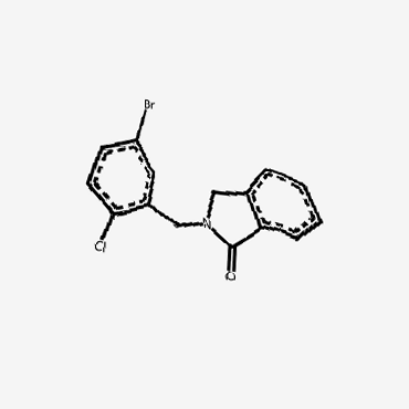 O=C1c2ccccc2CN1Cc1cc(Br)ccc1Cl